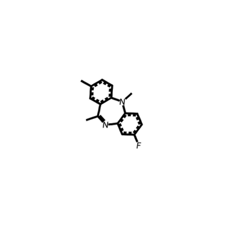 CC1=Nc2cc(F)ccc2N(C)c2ccc(C)cc21